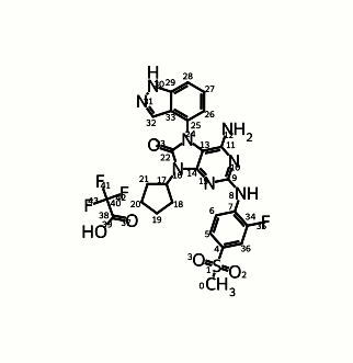 CS(=O)(=O)c1ccc(Nc2nc(N)c3c(n2)n(C2CCCC2)c(=O)n3-c2cccc3[nH]ncc23)c(F)c1.O=C(O)C(F)(F)F